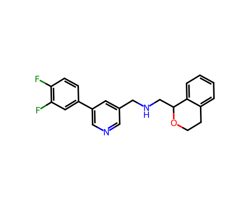 Fc1ccc(-c2cncc(CNCC3OCCc4ccccc43)c2)cc1F